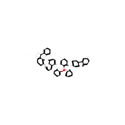 CC1(C)c2ccccc2N(c2ccc(B3c4ccccc4P4(=O)c5ccccc5B(c5ccc6c(c5)oc5ccccc56)c5cccc3c54)c3cccnc23)c2ccccc21